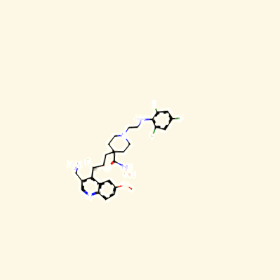 COc1ccc2ncc(CN)c([C@H](F)CCC3(C(=O)NO)CCN(CCNc4c(F)cc(F)cc4F)CC3)c2c1